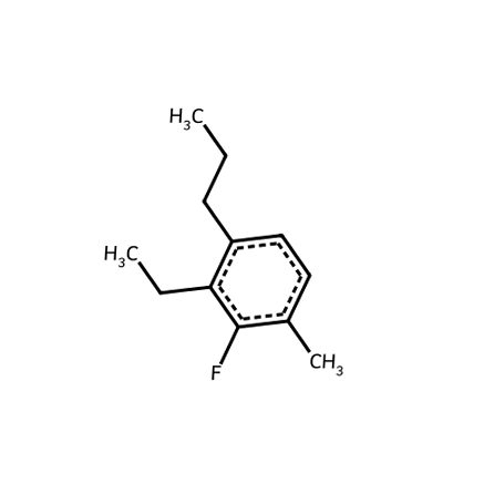 CCCc1ccc(C)c(F)c1CC